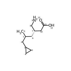 CC(CC1CC1)C[C@H](CN)CC(=O)O